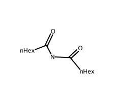 CCCCCCC(=O)[N]C(=O)CCCCCC